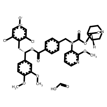 COc1ccc([C@H](Cc2c(Cl)c[n+]([O-])cc2Cl)OC(=O)c2ccc(CN(C(=O)O[C@H]3CN4CCC3CC4)c3cccnc3OC)cc2)cc1OC.O=CO